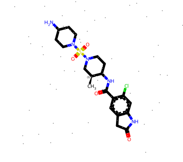 C[C@H]1CN(S(=O)(=O)N2CCC(N)CC2)CCC1NC(=O)c1cc2c(cc1Cl)NC(=O)C2